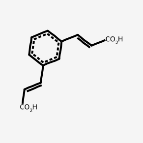 O=C(O)C=Cc1cccc(C=CC(=O)O)c1